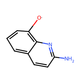 Nc1ccc2cccc([O])c2n1